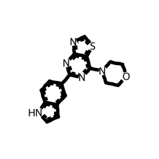 c1cc2cc(-c3nc(N4CCOCC4)c4scnc4n3)ccc2[nH]1